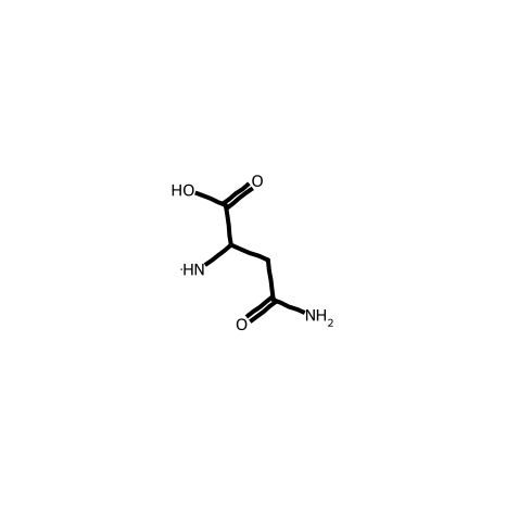 [NH]C(CC(N)=O)C(=O)O